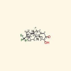 C[C@@H]1CC2=CC(=O)C(O)C[C@]2(C)[C@H]2CC[C@]3(C)[C@@H](C(F)(F)F)C=C[C@H]3[C@H]12